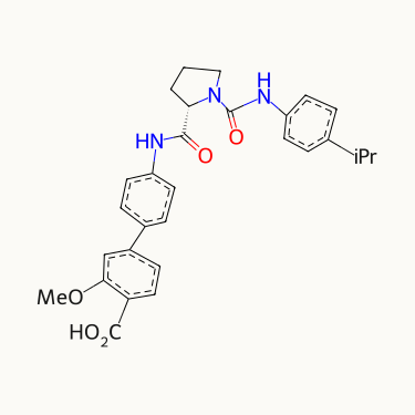 COc1cc(-c2ccc(NC(=O)[C@@H]3CCCN3C(=O)Nc3ccc(C(C)C)cc3)cc2)ccc1C(=O)O